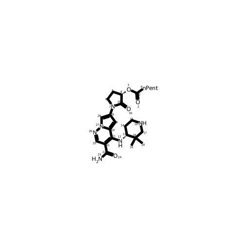 CCCCCC(=O)O[C@H]1CCN(c2cc3c(N[C@@H]4CCNCC4(C)C)c(C(N)=O)cnn3c2)C1=O